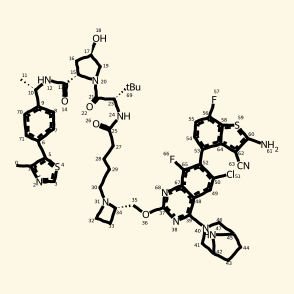 Cc1ncsc1-c1ccc([C@H](C)NC(=O)[C@@H]2C[C@@H](O)CN2C(=O)[C@@H](NC(=O)CCCCN2CC[C@H]2COc2nc(N3CC4CCC(C3)N4)c3cc(Cl)c(-c4ccc(F)c5sc(N)c(C#N)c45)c(F)c3n2)C(C)(C)C)cc1